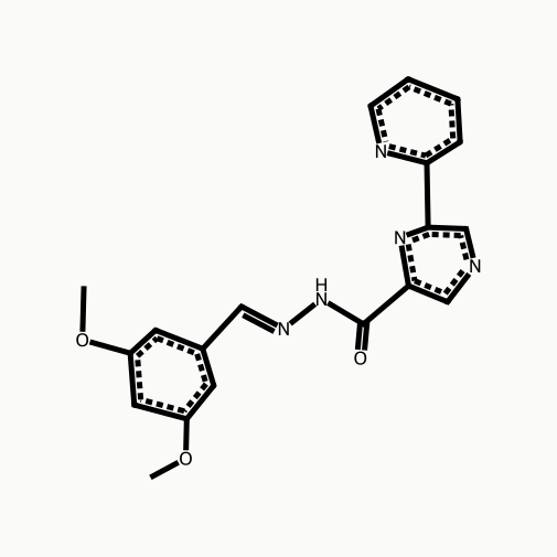 COc1cc(C=NNC(=O)c2cncc(-c3ccccn3)n2)cc(OC)c1